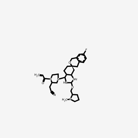 C=CC(=O)N1CCN(C2NC(OCC3CCCN3C)NC3C[C@]4(CCC32)Cc2ccc(F)cc2CO4)CC1CC#N